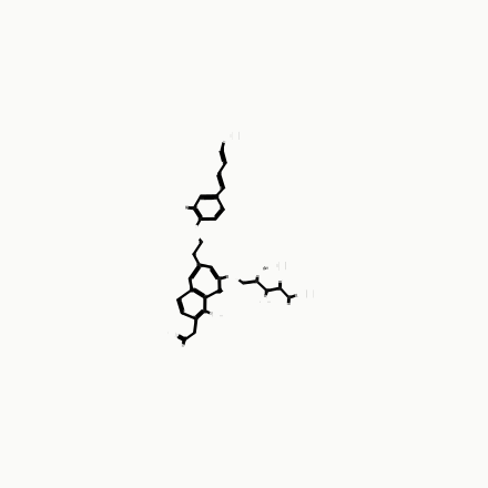 CC(O)C(O)C(O)C(COc1cc(CCOc2ccc(/C=C/C=C/O)cc2O)cc2ccc(CC(=O)O)c(O)c2c1=O)OO